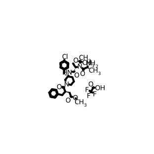 COC(=O)C[C@@H](Cc1ccccc1)C(=O)N1CCC[C@](Cc2ccc(Cl)cc2)(NC(=O)[C@@H]2COC(C)(C)N2C(=O)[C@H](C)N)C1.O=C(O)C(F)(F)F